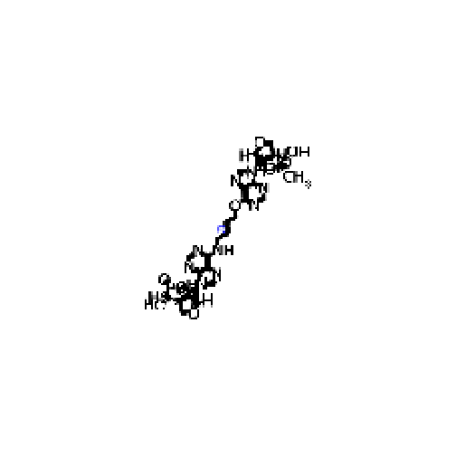 C[PH](=O)O[C@H]1[C@H]2OC[C@]1(CO)O[C@H]2n1cnc2c(OC/C=C/CNc3ncnc4c3ncn4[C@@H]3O[C@@]4(CO)CO[C@@H]3[C@@H]4O[PH](=O)S)ncnc21